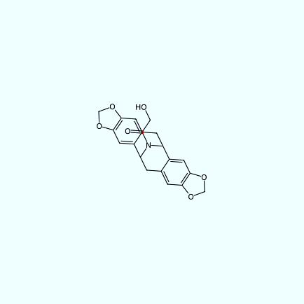 O=C(CO)N1C2Cc3cc4c(cc3C1Cc1cc3c(cc12)OCO3)OCO4